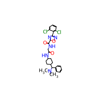 CN(C)C(c1ccccc1)C1CCC(NC(=O)CNC(=O)c2nc(-c3c(Cl)cccc3Cl)no2)CC1